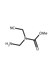 COC(=O)N(CN)CC#N